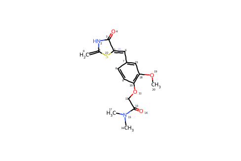 C=c1[nH]c(=O)/c(=C/c2ccc(OCC(=O)N(C)C)c(OC)c2)s1